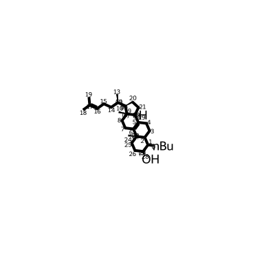 CCCCC1C2CCC3=C(CC[C@]4(C)[C@@H]([C@H](C)CCC=C(C)C)CC[C@@H]34)[C@@]2(C)CC[C@@H]1O